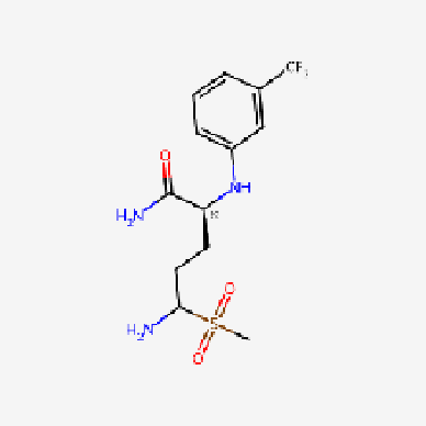 CS(=O)(=O)C(N)CC[C@H](Nc1cccc(C(F)(F)F)c1)C(N)=O